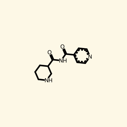 O=C(NC(=O)C1CCCNC1)c1ccncc1